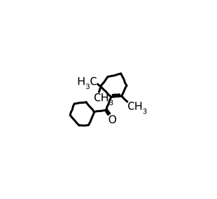 CC1=C(C(=O)C2CCCCC2)C(C)(C)CCC1